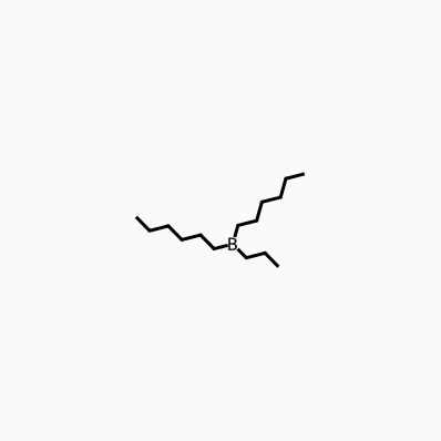 CCCCCCB(CCC)CCCCCC